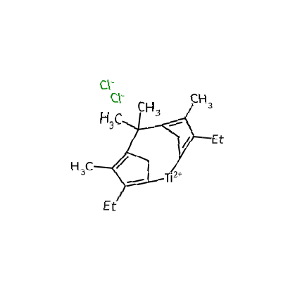 CCC1=[C]2CC(=C1C)C(C)(C)C1=C(C)C(CC)=[C](C1)[Ti+2]2.[Cl-].[Cl-]